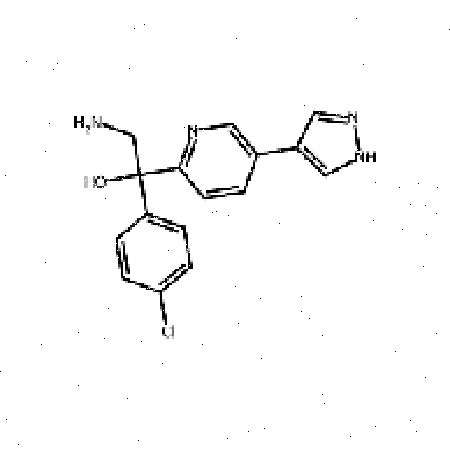 NCC(O)(c1ccc(Cl)cc1)c1ccc(-c2cn[nH]c2)cn1